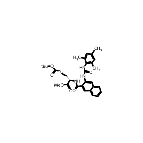 COC(=O)[C@H](CCNC(=O)OC(C)(C)C)NC(=O)c1cc2ccccc2cc1NC(=O)Nc1c(C)cc(C)cc1C